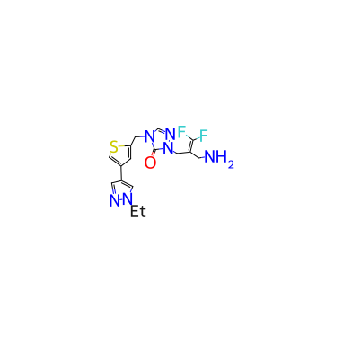 CCn1cc(-c2csc(Cn3cnn(CC(CN)=C(F)F)c3=O)c2)cn1